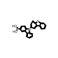 OB(O)c1ccc2c(c1)c1ccccc1n2-c1ccc2sc3ccccc3c2c1